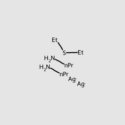 CCCN.CCCN.CCSCC.[Ag].[Ag]